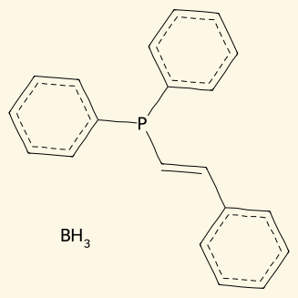 B.C(=CP(c1ccccc1)c1ccccc1)c1ccccc1